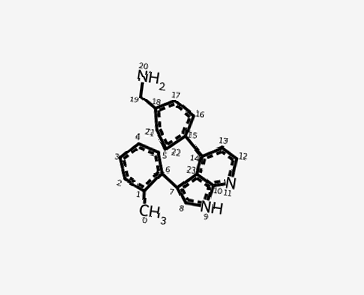 Cc1ccccc1-c1c[nH]c2nccc(-c3ccc(CN)cc3)c12